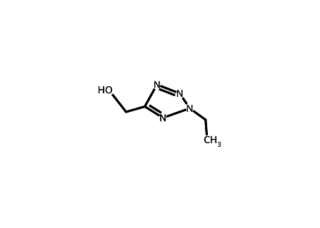 CCn1nnc(CO)n1